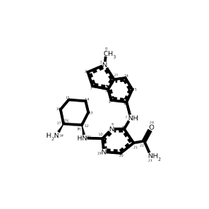 Cn1ccc2cc(Nc3nc(N[C@@H]4CCCC[C@@H]4N)ncc3C(N)=O)ccc21